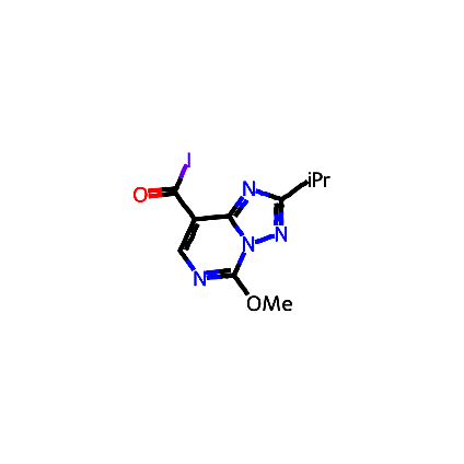 COc1ncc(C(=O)I)c2nc(C(C)C)nn12